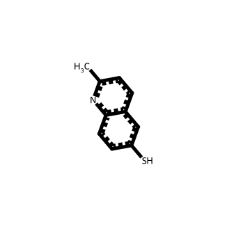 Cc1ccc2cc(S)ccc2n1